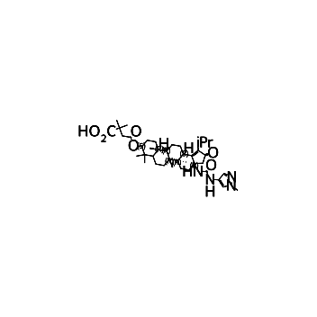 CC(C)C1=C2[C@H]3CC[C@@H]4[C@@]5(C)CC[C@H](OC(=O)CC(C)(C)C(=O)O)C(C)(C)C5CC[C@@]4(C)[C@]3(C)CC[C@@]2(NC(=O)Nc2cnn(C)c2)CC1=O